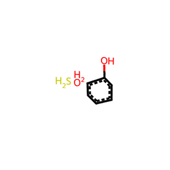 O.Oc1ccccc1.S